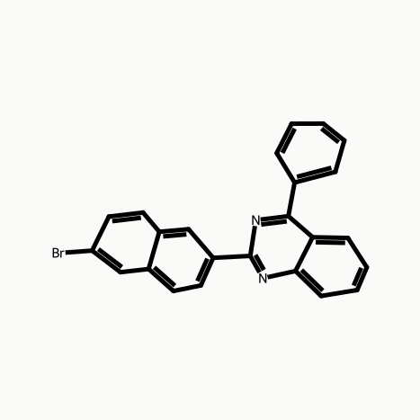 Brc1ccc2cc(-c3nc(-c4ccccc4)c4ccccc4n3)ccc2c1